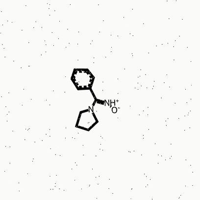 [O-][NH+]=C(c1ccccc1)N1CCCC1